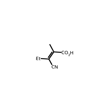 CCC(C#N)=C(C)C(=O)O